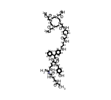 [2H]OC(=O)CN1CCN(CC(=O)NC2CCN(CC(=O)NCCCNc3ccc(C(C(=O)N[C@H](CCCN/C(N)=N\C(=O)NCCNC(=O)CC)C(=O)NCc4ccc(O)cc4)c4ccccc4)cc3)CC2)CCN(CC(=O)O[2H])CCN(CC(=O)O[2H])CC1